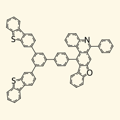 c1ccc(-c2nc3ccccc3c3c(-c4ccc(-c5cc(-c6ccc7c(c6)sc6ccccc67)cc(-c6ccc7c(c6)sc6ccccc67)c5)cc4)c4c(cc23)oc2ccccc24)cc1